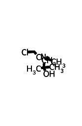 CC#N.CC(C)(C)O.ClCCl